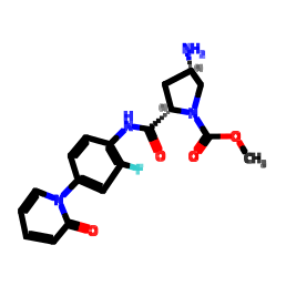 COC(=O)N1C[C@@H](N)C[C@H]1C(=O)Nc1ccc(-n2ccccc2=O)cc1F